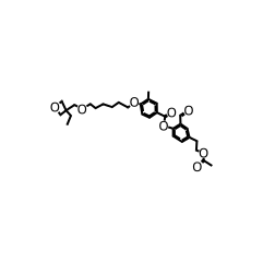 CCC1(COCCCCCCOc2ccc(C(=O)Oc3ccc(CCOC(C)=O)cc3C=O)cc2C)COC1